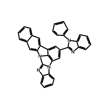 c1ccc(-n2c(-c3cc4c5cc6ccccc6cc5n5c4c(c3)n3c4ccccc4nc35)nc3ccccc32)cc1